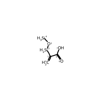 C=C([SiH2]O[SiH3])C(=O)O